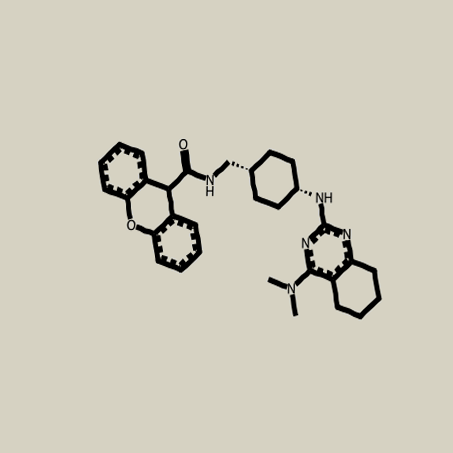 CN(C)c1nc(N[C@H]2CC[C@@H](CNC(=O)C3c4ccccc4Oc4ccccc43)CC2)nc2c1CCCC2